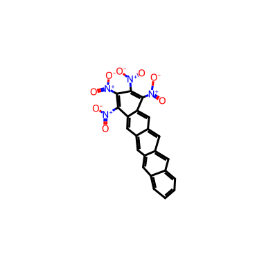 O=[N+]([O-])c1c([N+](=O)[O-])c([N+](=O)[O-])c2cc3cc4cc5ccccc5cc4cc3cc2c1[N+](=O)[O-]